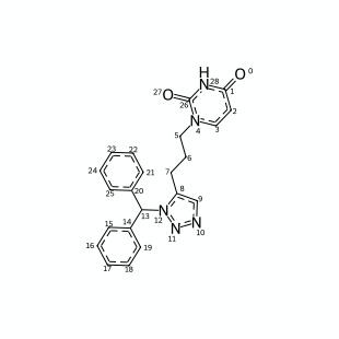 O=c1ccn(CCCc2cnnn2C(c2ccccc2)c2ccccc2)c(=O)[nH]1